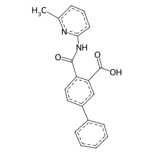 Cc1cccc(NC(=O)c2ccc(-c3ccccc3)cc2C(=O)O)n1